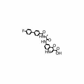 C[C@H](NC(=O)c1ccc(-c2ccc(F)cc2)cc1)C(=O)Nc1ccc2[nH]cc(C(=O)O)c(=O)c2c1